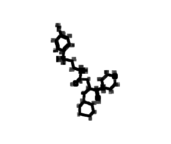 O=C(CC(CC1CCCCC1)C(=O)N1CCOCC1)NCCNc1ccc(F)cc1